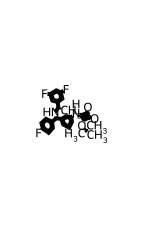 C[C@@H](NC(c1ccc(F)cc1)c1cccc(Nc2c(OC(C)(C)C)c(=O)c2=O)c1)c1cc(F)cc(F)c1